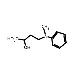 CN(CCC(O)C(=O)O)c1ccccc1